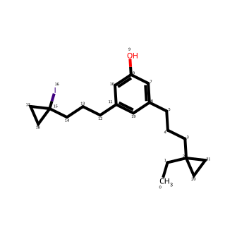 CCC1(CCCc2cc(O)cc(CCCC3(I)CC3)c2)CC1